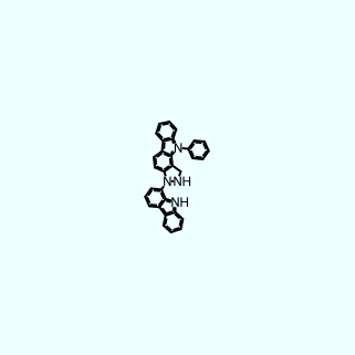 c1ccc(-n2c3ccccc3c3ccc4c(c32)CNN4c2cccc3c2[nH]c2ccccc23)cc1